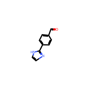 O=Cc1ccc(-c2ncc[nH]2)cc1